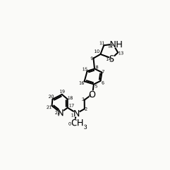 CN(CCOc1ccc(CC2CNCS2)cc1)c1ccccn1